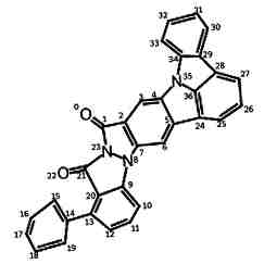 O=c1c2cc3c(cc2n2c4cccc(-c5ccccc5)c4c(=O)n12)c1cccc2c4ccccc4n3c21